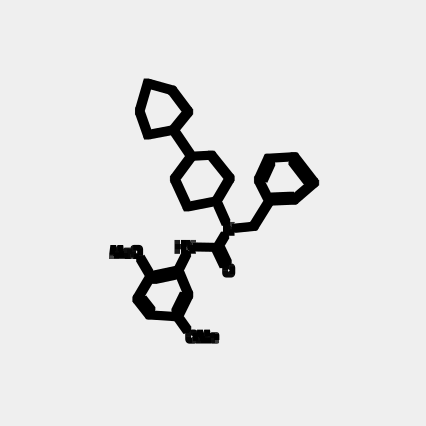 COc1ccc(OC)c(NC(=O)N(Cc2ccccc2)C2CCC(C3CCCCC3)CC2)c1